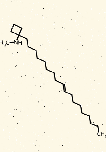 CCCCCCCCC=CCCCCCCCCC1(NC)CCC1